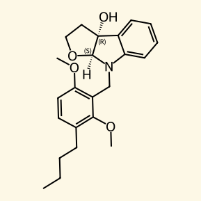 CCCCc1ccc(OC)c(CN2c3ccccc3[C@]3(O)CCO[C@H]23)c1OC